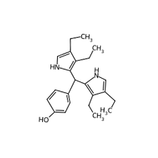 CCc1c[nH]c(C(c2ccc(O)cc2)c2[nH]cc(CC)c2CC)c1CC